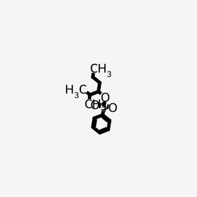 CCCC(OS(=O)(=O)c1ccccc1)C(C)C